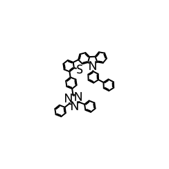 c1ccc(-c2cccc(-n3c4ccccc4c4ccc5c6cccc(-c7ccc(-c8nc(-c9ccccc9)nc(-c9ccccc9)n8)cc7)c6sc5c43)c2)cc1